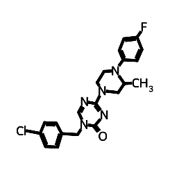 CC1CN(c2ncn(Cc3ccc(Cl)cc3)c(=O)n2)CCN1c1ccc(F)cc1